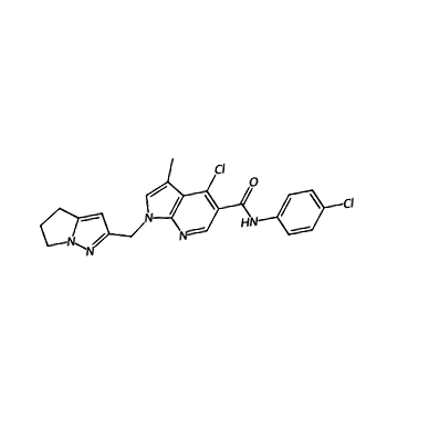 Cc1cn(Cc2cc3n(n2)CCC3)c2ncc(C(=O)Nc3ccc(Cl)cc3)c(Cl)c12